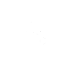 CC1(O[C@H](CCO)[C@H](O)Cc2ccccc2)CCCCC1